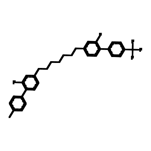 Cc1ccc(-c2ccc(CCCCCCCc3ccc(-c4ccc(C(F)(F)F)cc4)c(F)c3)cc2F)cc1